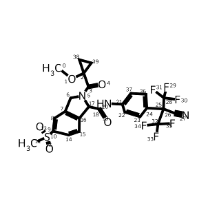 COC1(C(=O)N2Cc3cc(S(C)(=O)=O)ccc3C2C(=O)Nc2ccc(C(C#N)(C(F)(F)F)C(F)(F)F)cc2)CC1